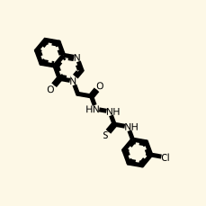 O=C(Cn1cnc2ccccc2c1=O)NNC(=S)Nc1cccc(Cl)c1